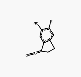 N#Cc1cc2c(cc1Br)CCC2=C=O